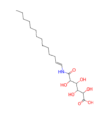 CCCCCCCCCCCCC=CNC(=O)C(O)C(O)C(O)C(O)C(=O)O